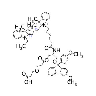 CCN1/C(=C/C=C/C2=[N+](CCCCCC(=O)NC(COC(=O)CCOCCC(=O)O)COC(c3ccccc3)(c3ccc(OC)cc3)c3ccc(OC)cc3)c3ccccc3C2(C)C)C(C)(C)c2ccccc21